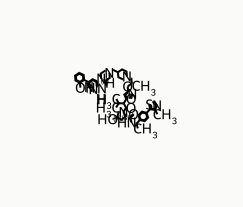 Cc1ncsc1-c1ccc(C(C)NC(=O)[C@@H]2C[C@@H](O)CN2C(=O)C(c2cc(OC(C)CN3CCC(CN4CCN5c6cc(-c7ccccc7O)nnc6NC[C@H]5C4)CC3)no2)C(C)C)cc1